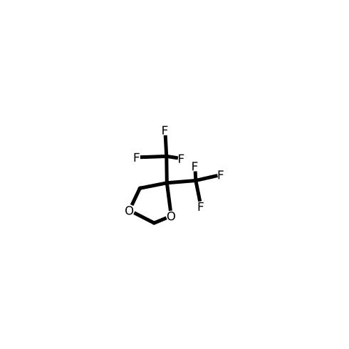 FC(F)(F)C1(C(F)(F)F)COCO1